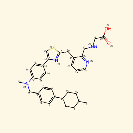 CC1CCC(c2ccc(CN(C)c3ccc(-c4csc(Cc5cccnc5CNCC(=O)O)n4)cc3)cc2)CC1